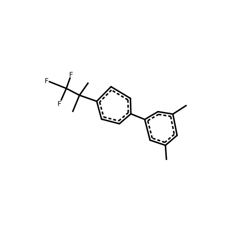 Cc1cc(C)cc(-c2ccc(C(C)(C)C(F)(F)F)cc2)c1